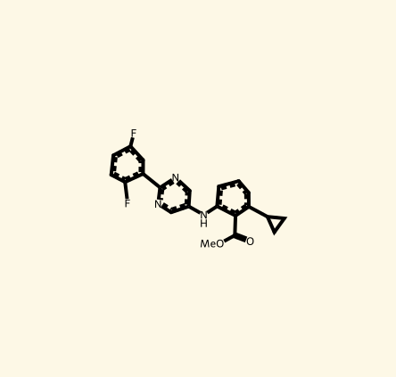 COC(=O)c1c(Nc2cnc(-c3cc(F)ccc3F)nc2)cccc1C1CC1